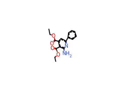 CCOC(=O)c1cc(-c2ccccc2)nc(N)c1C(=O)OCC